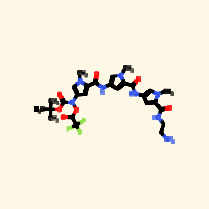 Cn1cc(NC(=O)c2cc(NC(=O)c3cc(N(OC(=O)C(F)(F)F)C(=O)OC(C)(C)C)cn3C)cn2C)cc1C(=O)NCCN